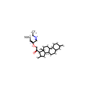 CN/C=C(\C=N/CC(F)(F)F)OCC(=O)C1C(C)CC2C3CCC4CC(C)CCC4C3CCC21C